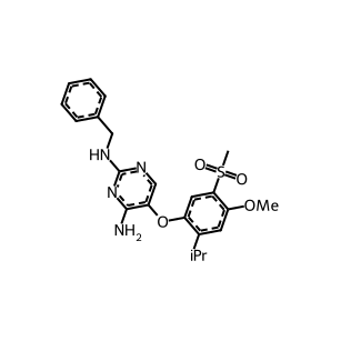 COc1cc(C(C)C)c(Oc2cnc(NCc3ccccc3)nc2N)cc1S(C)(=O)=O